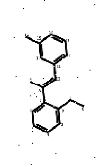 CCc1ccccc1C(C)=Cc1cccc(C)c1